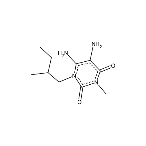 CCC(C)Cn1c(N)c(N)c(=O)n(C)c1=O